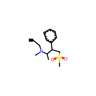 C#CCN(C)C(C)C(CS(C)(=O)=O)c1ccccc1